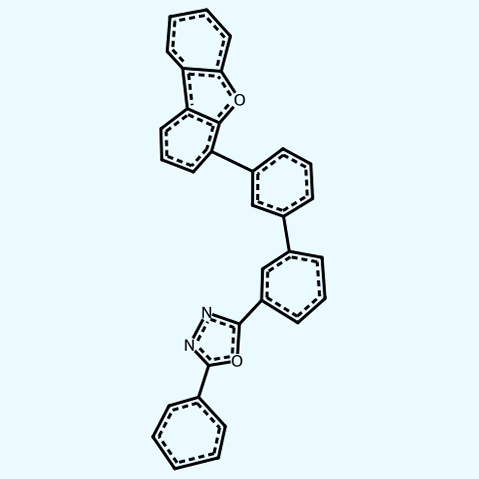 c1ccc(-c2nnc(-c3cccc(-c4cccc(-c5cccc6c5oc5ccccc56)c4)c3)o2)cc1